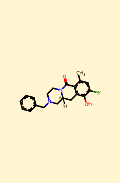 Cc1cc(Br)c(O)c2c1C(=O)N1CCN(Cc3ccccc3)C[C@H]1C2